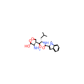 CC(C)C[C@H](NC(=O)c1cc2ccccc2n1C)C(=O)[C@H](C=O)C(N)C(=O)O